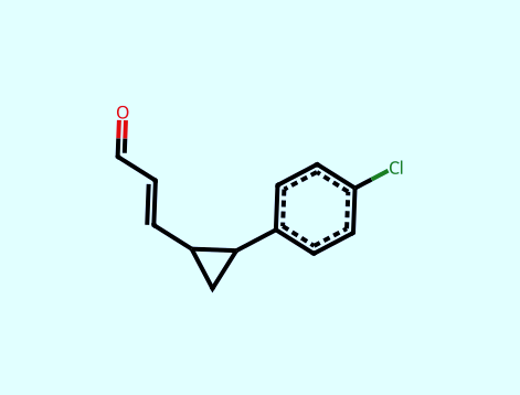 O=CC=CC1CC1c1ccc(Cl)cc1